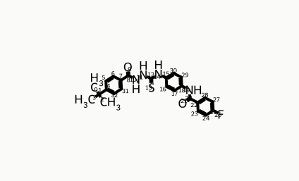 CC(C)(C)c1ccc(C(=O)NNC(=S)Nc2ccc(NC(=O)c3ccc(F)cc3)cc2)cc1